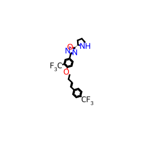 FC(F)(F)c1ccc(/C=C/CCOc2ccc(-c3noc([C@@H]4CCCN4)n3)cc2C(F)(F)F)cc1